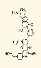 CCC/C=C(/C=C1/CN(CCC#N)CCN1)Nc1cc(-c2ccnc(N3CCn4c(cc5c4CC(C)(C)C5)C3=O)c2CO)cn(C)c1=O